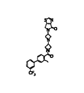 Cc1cc(-c2cccc(C(F)(F)F)c2)ccc1C(=O)N1CC(N2CC(N3Cc4scnc4C3=O)C2)C1